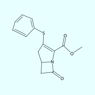 COC(=O)C1=C(Sc2ccccc2)CC2CC(=O)N12